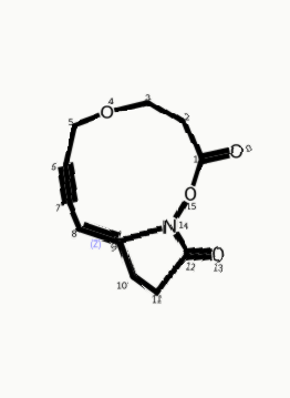 O=C1CCOCC#C/C=C2/CCC(=O)N2O1